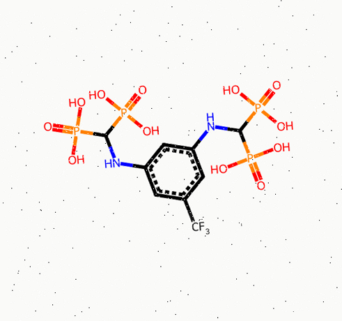 O=P(O)(O)C(Nc1cc(NC(P(=O)(O)O)P(=O)(O)O)cc(C(F)(F)F)c1)P(=O)(O)O